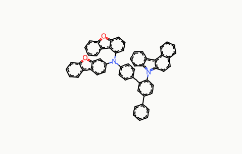 c1ccc(-c2ccc(-n3c4ccccc4c4c5ccccc5ccc43)c(-c3ccc(N(c4ccc5c(c4)oc4ccccc45)c4cccc5oc6ccccc6c45)cc3)c2)cc1